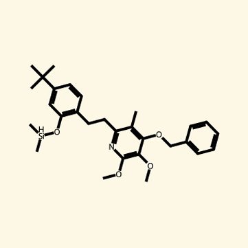 COc1nc(CCc2ccc(C(C)(C)C)cc2O[SiH](C)C)c(C)c(OCc2ccccc2)c1OC